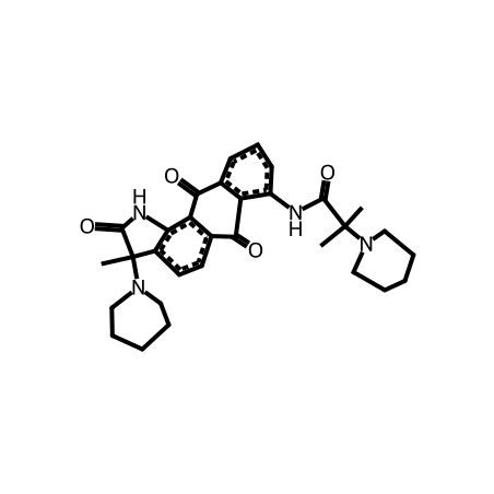 CC(C)(C(=O)Nc1cccc2c1C(=O)c1ccc3c(c1C2=O)NC(=O)C3(C)N1CCCCC1)N1CCCCC1